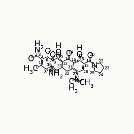 CC1=C(C(N)=O)C(=O)[C@@]2(O)C(O)=C3C(=O)c4c(O)c(C(=O)N5CCCC5)cc(N(C)C)c4CC3C[C@@]2(N)C1